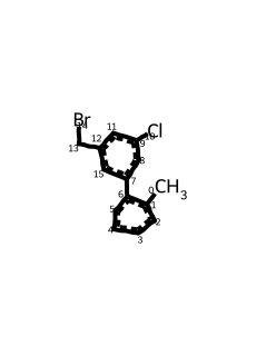 Cc1ccccc1-c1cc(Cl)cc(CBr)c1